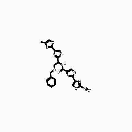 [C-]#[N+]c1nc(-c2nc(C(=O)NC(COCc3ccccc3)c3nc(-c4nc(C)co4)co3)co2)co1